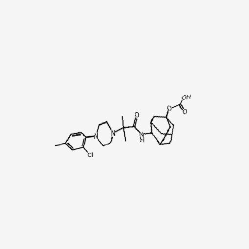 Cc1ccc(N2CCN(C(C)(C)C(=O)NC3C4CC5CC3CC(OC(=O)O)(C5)C4)CC2)c(Cl)c1